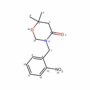 CC1(C)CC(=O)N(Cc2ccccc2[N+](=O)[O-])CO1